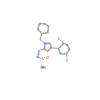 CC(C)(C)[S@@+]([O-])/N=C\c1cc(-c2cc(F)ccc2F)cn1Cc1ccccc1